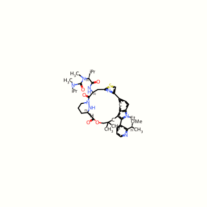 CCn1c(-c2cccnc2[C@H](C)OC)c2c3cc(ccc31)-c1csc(n1)C[C@H](NC(=O)[C@H](C(C)C)N(C)C(=O)N(C)C(C)C)C(=O)N1CCC[C@H](N1)C(=O)OCC(C)(C)C2